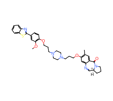 COc1cc(-c2nc3ccccc3s2)ccc1OCCCN1CCN(CCCOc2cc3c(cc2C)C(=O)N2CCC[C@H]2C=N3)CC1